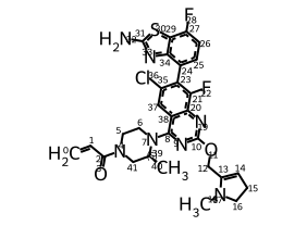 C=CC(=O)N1CCN(c2nc(OCC3=CCCN3C)nc3c(F)c(-c4ccc(F)c5sc(N)nc45)c(Cl)cc23)[C@@H](C)C1